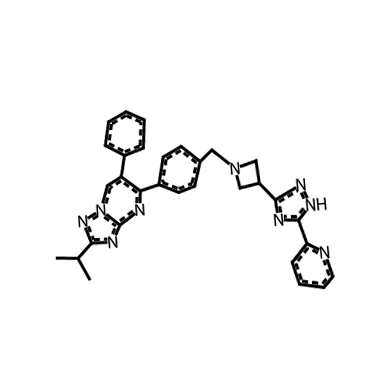 CC(C)c1nc2nc(-c3ccc(CN4CC(c5n[nH]c(-c6ccccn6)n5)C4)cc3)c(-c3ccccc3)cn2n1